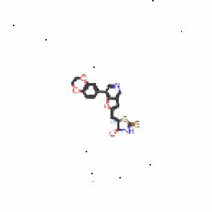 O=C1NC(=S)S/C1=C\c1cc2cncc(-c3ccc4c(c3)OCCO4)c2o1